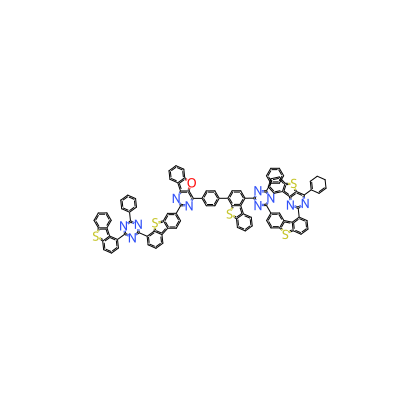 C1=CC(c2nc(-c3cccc4sc5ccc(-c6nc(-c7ccccc7)nc(-c7ccc(-c8ccc(-c9nc(-c%10ccc%11c(c%10)sc%10c(-c%12nc(-c%13ccccc%13)nc(-c%13cccc%14sc%15ccccc%15c%13%14)n%12)cccc%10%11)nc%10c9oc9ccccc9%10)cc8)c8sc9ccccc9c78)n6)cc5c34)nc3c2sc2ccccc23)=CCC1